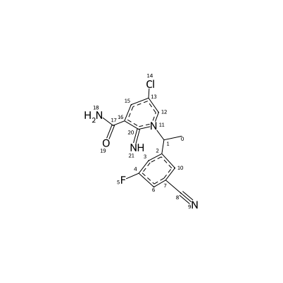 CC(c1cc(F)cc(C#N)c1)n1cc(Cl)cc(C(N)=O)c1=N